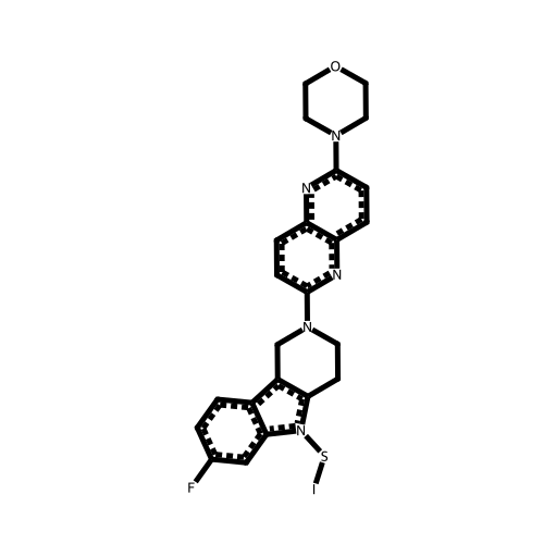 Fc1ccc2c3c(n(SI)c2c1)CCN(c1ccc2nc(N4CCOCC4)ccc2n1)C3